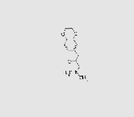 CN(C)CC(=O)Cc1ccc2c(c1)OCCO2